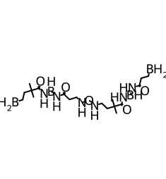 BCCC(=O)NBNC(=O)C(C)(C)CCNONCCC(=O)NBNC(=O)C(C)(C)CCB